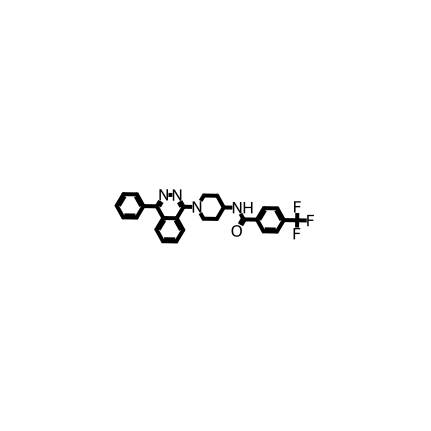 O=C(NC1CCN(c2nnc(-c3ccccc3)c3ccccc23)CC1)c1ccc(C(F)(F)F)cc1